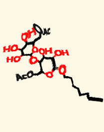 C=CCCCCCCO[C@@H]1OC(COC(C)=O)[C@@H](O[C@@H]2OC(COC(C)=O)[C@H](O)C(O)[C@@H]2O)C(O)[C@@H]1O